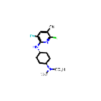 CC(C)(C)N(C(=O)O)[C@H]1CC[C@H](Nc2nc(Cl)c(C#N)cc2F)CC1